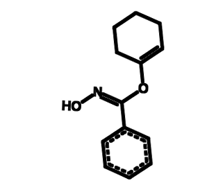 ON=C(OC1=CCCCC1)c1ccccc1